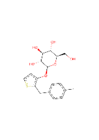 Cc1ccc(Cc2sccc2O[C@@H]2O[C@H](CO)[C@@H](O)[C@H](O)[C@H]2O)cc1